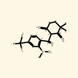 C[S+]([O-])c1cc(C(F)(F)F)ccc1C(=O)C1C(=O)CCC(C)(C)C1=O